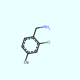 N#Cc1ccc(CN)c(Cl)c1